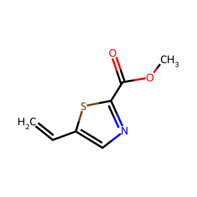 C=Cc1cnc(C(=O)OC)s1